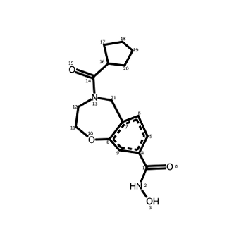 O=C(NO)c1ccc2c(c1)OCCN(C(=O)C1CCCC1)C2